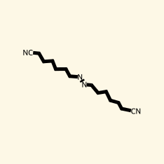 N#CCCCCCCN=NCCCCCCC#N